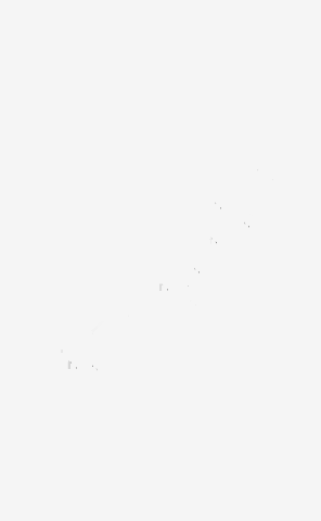 O=C(NCCOc1cccc2c(=O)[nH]ncc12)N1CCN(c2ncc(C(F)(F)F)cn2)CC1